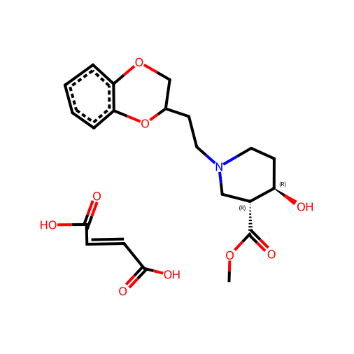 COC(=O)[C@@H]1CN(CCC2COc3ccccc3O2)CC[C@H]1O.O=C(O)C=CC(=O)O